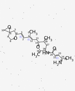 CC(/C=C/C1CC2(CCO1)CO2)=C\CC1OC(C)C(NC(=O)/C=C/C(C)N)CC1C